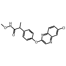 CONC(=O)C(C)c1ccc(Oc2cnc3cc(Cl)ccc3n2)cc1